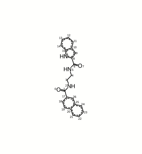 O=C(NCCNC(=O)c1cc2ccccc2[nH]1)c1ccc2ccccc2c1